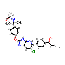 CCC(=O)C1C=CC(C2=C(Cl)CC3NC(Oc4ccc(C(C)(C)NC(C)=O)cc4)=NC3=N2)=CC1